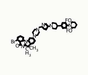 CC1(C)c2ccc(N3CCN(Cc4ccc(N5CCC(c6cc(F)c(N7C(=O)CCCC7=O)c(F)c6)CC5)cn4)CC3)cc2-n2c1nc(=O)c1c(Br)cccc12